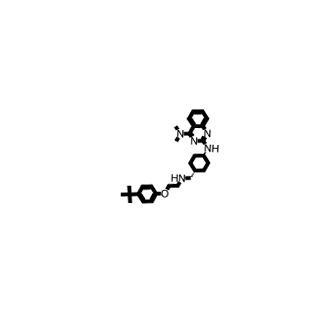 CN(C)c1nc(N[C@H]2CC[C@@H](CNCCOc3ccc(C(C)(C)C)cc3)CC2)nc2ccccc12